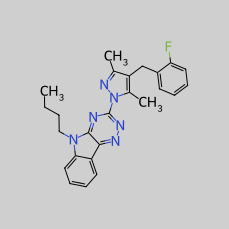 CCCCn1c2ccccc2c2nnc(-n3nc(C)c(Cc4ccccc4F)c3C)nc21